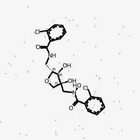 O=C(NC[C@H]1OC[C@@](O)(CN(O)C(=O)c2ccccc2Cl)[C@@H]1O)c1ccccc1Cl